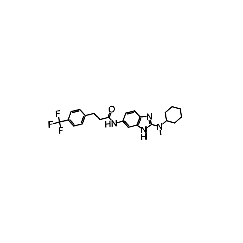 CN(c1nc2ccc(NC(=O)CCc3ccc(C(F)(F)F)cc3)cc2[nH]1)C1CCCCC1